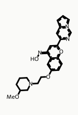 COC1CCCN(CCOc2ccc3oc(-c4cc5cccn5cn4)c/c(=N/O)c3c2)C1